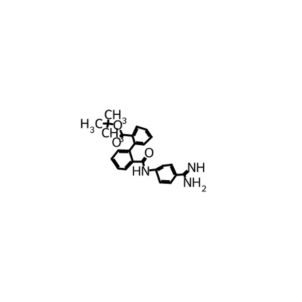 CC(C)(C)OC(=O)c1ccccc1-c1ccccc1C(=O)Nc1ccc(C(=N)N)cc1